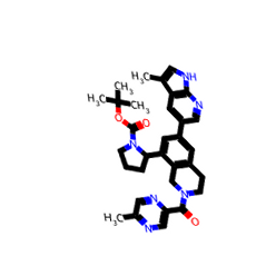 Cc1cnc(C(=O)N2CCc3cc(-c4cnc5[nH]cc(C)c5c4)cc(C4CCCN4C(=O)OC(C)(C)C)c3C2)cn1